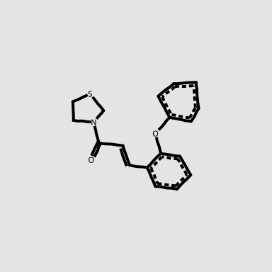 O=C(/C=C/c1ccccc1Oc1ccccc1)N1CCSC1